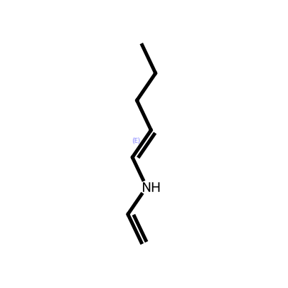 C=CN/C=C/CCC